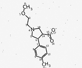 COCCN1CC(c2ccc(C)cc2)C([N+](=O)[O-])C1